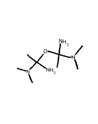 CN(C)C(C)(N)OC(C)(N)N(C)C